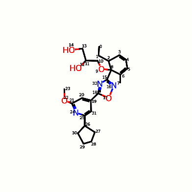 CCC1C=CC=C(C)C1(OCC(O)CO)c1noc(-c2cc(OC)nc(C3CCCC3)c2)n1